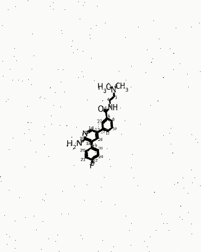 CN(C)CCNC(=O)c1cccc(-c2cnc(N)c(-c3ccc(F)cc3)c2)c1